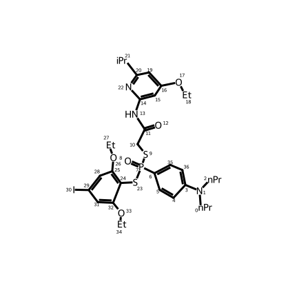 CCCN(CCC)c1ccc(P(=O)(SCC(=O)Nc2cc(OCC)cc(C(C)C)n2)Sc2c(OCC)cc(I)cc2OCC)cc1